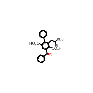 CCCCC(CC)Cc1c(C(=O)O)c(C(=O)c2ccccc2)cc(C(=O)O)c1-c1ccccc1